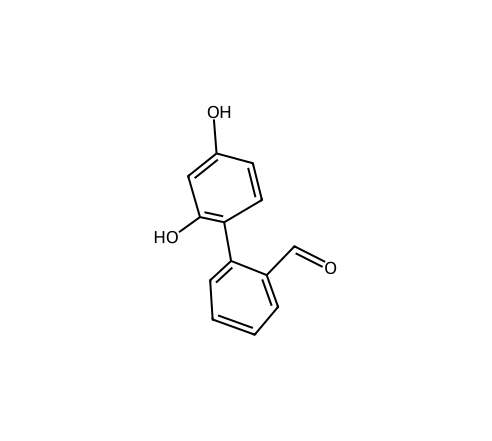 O=Cc1ccccc1-c1ccc(O)cc1O